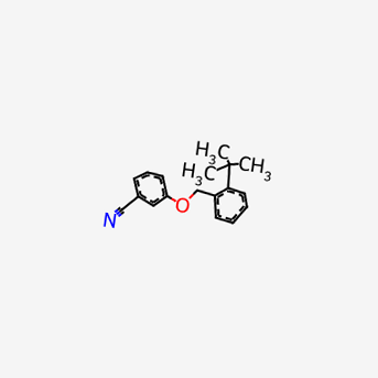 CC(C)(C)c1ccccc1COc1cccc(C#N)c1